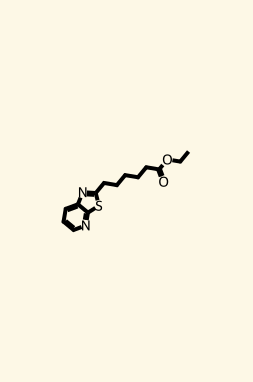 CCOC(=O)CCCCCc1nc2cccnc2s1